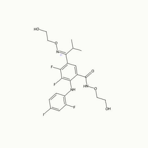 CC(C)/C(=N\OCCO)c1cc(C(=O)NOCCO)c(Nc2ccc(I)cc2F)c(F)c1F